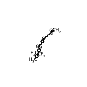 C=CC(=O)OCCCCCCOc1ccc(CCC(=O)Oc2ccc(C(c3ccc(C)cc3)(C(F)(F)F)C(F)(F)F)cc2)cc1